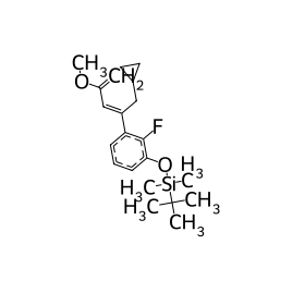 C=C(C=C(CC1CC1)c1cccc(O[Si](C)(C)C(C)(C)C)c1F)OC